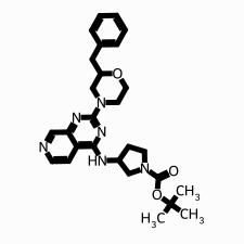 CC(C)(C)OC(=O)N1CCC(Nc2nc(N3CCOC(Cc4ccccc4)C3)nc3cnccc23)C1